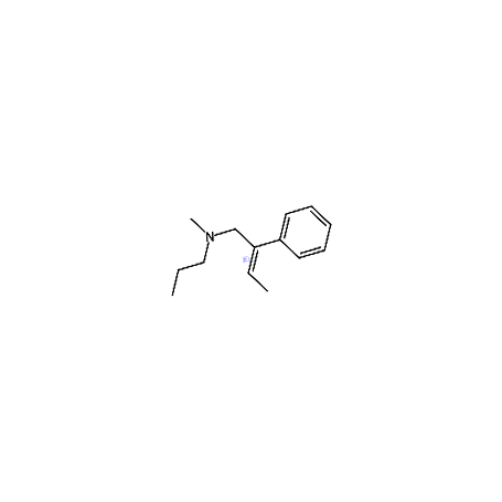 C/C=C(/CN(C)CCC)c1ccccc1